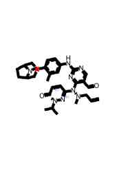 C=CCN(C)N(C(/C=C\C=O)=N/N(C)C(C)C)c1nc(Nc2ccc(N3CC4CCC(C3)N4C)c(C)c2)ncc1C=O